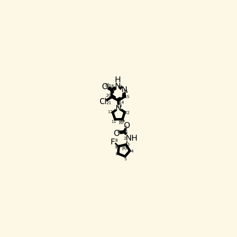 O=C(N[C@@H]1CCC[C@H]1F)O[C@@H]1CCN(c2cn[nH]c(=O)c2Cl)C1